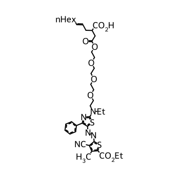 CCCCCC/C=C/CC(CC(=O)OCCOCCOCCOCCN(CC)c1nc(-c2ccccc2)c(/N=N/c2sc(C(=O)OCC)c(C)c2C#N)s1)C(=O)O